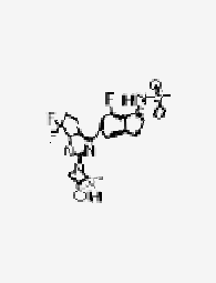 C[C@H]1[C@H](O)CN1c1nc(-c2cc(F)c3c(c2)CC[C@@H]3NS(C)(=O)=O)c2c(n1)C(F)(F)CC2